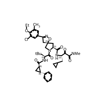 CCOc1c(C)cc(C2=NO[C@]3(C2)C[C@@H](C(=O)N[C@@H](CC2CC2)C(=O)C(=O)NC)N(C(=O)[C@@H](NC(=O)[C@@H]2C[C@H]2c2ccccc2)C(C)(C)C)C3)cc1Cl